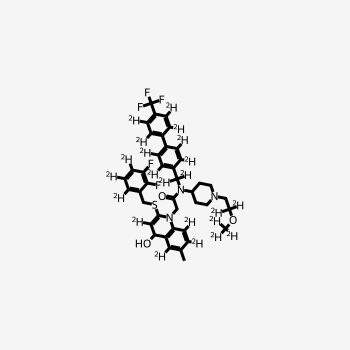 [2H]C1=C(SCc2c([2H])c([2H])c([2H])c(F)c2F)N(CC(=O)N(C2CCN(CC([2H])([2H])OC([2H])([2H])[2H])CC2)C([2H])([2H])c2c([2H])c([2H])c(-c3c([2H])c([2H])c(C(F)(F)F)c([2H])c3[2H])c([2H])c2[2H])c2c([2H])c([2H])c(C)c([2H])c2C1O